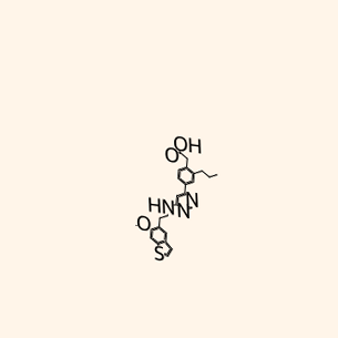 CCCc1cc(-c2cc(NCCc3cc4ccsc4cc3OC)ncn2)ccc1CC(=O)O